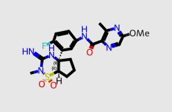 COc1cnc(C(=O)Nc2ccc(F)c([C@]34CCC[C@H]3S(=O)(=O)N(C)C(=N)N4)c2)c(C)n1